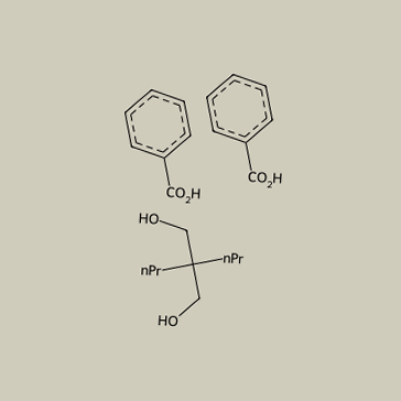 CCCC(CO)(CO)CCC.O=C(O)c1ccccc1.O=C(O)c1ccccc1